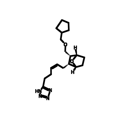 C(=C/C[C@@H]1[C@H](COCC2CCCC2)[C@@H]2CC[C@H]1O2)/CCc1nnn[nH]1